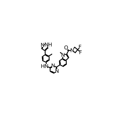 Cc1cc(Nc2ccnc(-c3ccc4cc(C(=O)N5CC(F)(F)C5)n(C)c4c3)n2)ccc1-c1cn[nH]c1